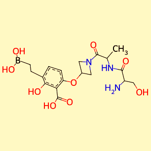 CC(NC(=O)C(N)CO)C(=O)N1CC(Oc2ccc(CCB(O)O)c(O)c2C(=O)O)C1